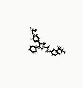 O=C(Nc1ccc2c(c1)C(F)(F)C(F)(F)O2)N1CC(c2ccccc2)=C(c2ccc(OC(F)F)cc2)N1